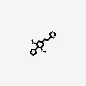 COc1cc(C=Cc2cscn2)cc(OC)c1C1CCCC1